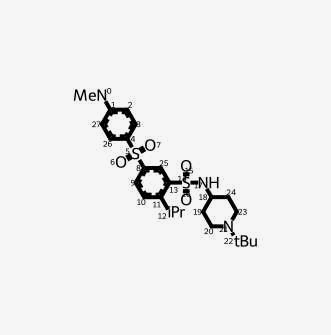 CNc1ccc(S(=O)(=O)c2ccc(C(C)C)c(S(=O)(=O)NC3CCN(C(C)(C)C)CC3)c2)cc1